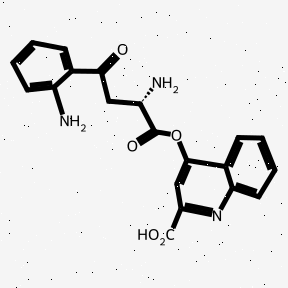 Nc1ccccc1C(=O)C[C@H](N)C(=O)Oc1cc(C(=O)O)nc2ccccc12